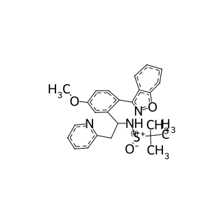 COc1ccc(-c2noc3ccccc23)c(C(Cc2ccccn2)N[S@@+]([O-])C(C)(C)C)c1